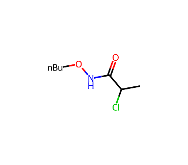 CCCCONC(=O)C(C)Cl